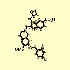 COc1cc2c(nc1OCc1ccc(Cl)cc1F)CN(Cc1nc3ccc(C(=O)O)cc3n1C[C@@H]1CCO1)CC2